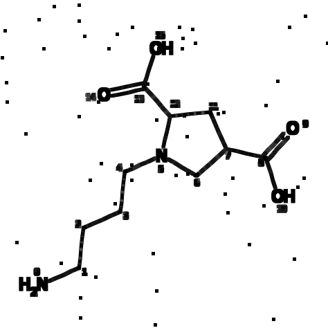 NCCCCN1CC(C(=O)O)CC1C(=O)O